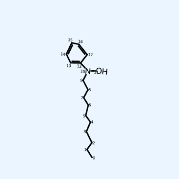 CCCCCCCCCCN(O)c1ccccc1